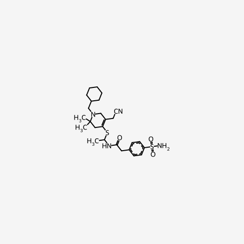 CC(NC(=O)Cc1ccc(S(N)(=O)=O)cc1)SC1=C(CC#N)CN(CC2CCCCC2)C(C)(C)C1